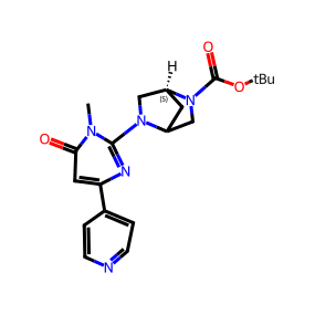 Cn1c(N2C[C@@H]3CC2CN3C(=O)OC(C)(C)C)nc(-c2ccncc2)cc1=O